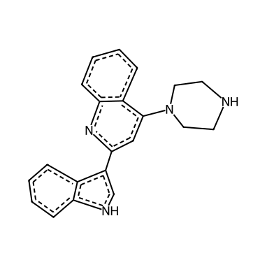 c1ccc2c(N3CCNCC3)cc(-c3c[nH]c4ccccc34)nc2c1